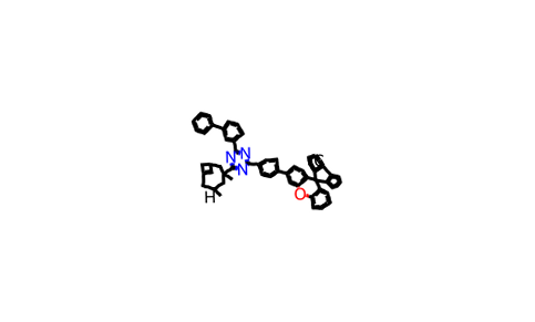 C[C@H]1CC2=CC(C2)CC(C)(c2nc(-c3ccc(-c4ccc5c(c4)Oc4ccccc4C54c5ccccc5-c5ccccc54)cc3)nc(-c3cccc(-c4ccccc4)c3)n2)C1